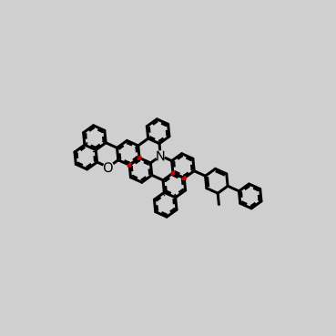 CC1C=C(c2ccc(N(c3ccccc3-c3ccc4c(c3)-c3cccc5cccc(c35)O4)c3ccccc3-c3cccc4ccccc34)cc2)C=CC1c1ccccc1